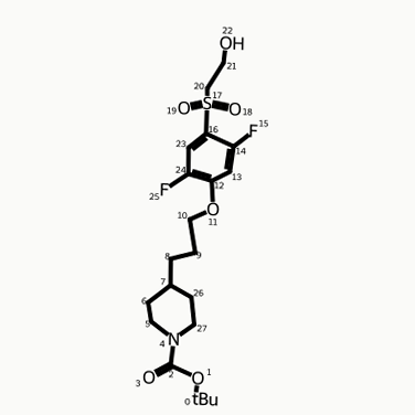 CC(C)(C)OC(=O)N1CCC(CCCOc2cc(F)c(S(=O)(=O)CCO)cc2F)CC1